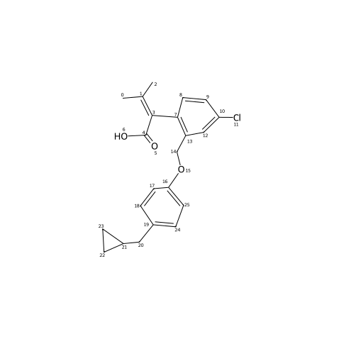 CC(C)=C(C(=O)O)c1ccc(Cl)cc1COc1ccc(CC2CC2)cc1